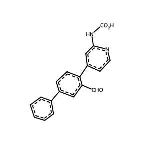 O=Cc1cc(-c2ccccc2)ccc1-c1ccnc(NC(=O)O)c1